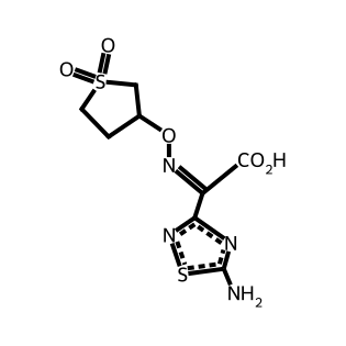 Nc1nc(C(=NOC2CCS(=O)(=O)C2)C(=O)O)ns1